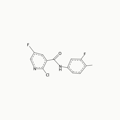 Cc1ccc(NC(=O)c2cc(F)cnc2Cl)cc1F